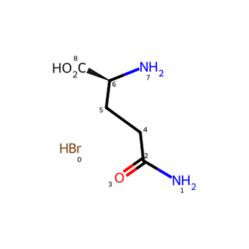 Br.NC(=O)CC[C@H](N)C(=O)O